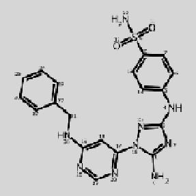 Nc1nc(Nc2ccc(S(N)(=O)=O)cc2)nn1-c1cc(NCc2ccccc2)ncn1